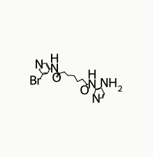 Nc1ccncc1NC(=O)CCCCCC(=O)Nc1cncc(Br)c1